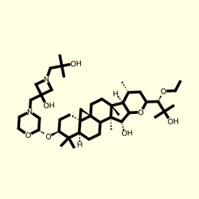 CCO[C@@H](C1C[C@@H](C)[C@H]2C(O1)[C@H](O)[C@@]1(C)C3CC[C@H]4C(C)(C)[C@@H](O[C@H]5CN(CC6(O)CN(CC(C)(C)O)C6)CCO5)CC[C@@]45C[C@@]35CC[C@]21C)C(C)(C)O